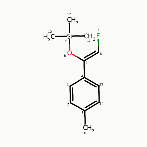 Cc1ccc(C(=CF)O[Si](C)(C)C)cc1